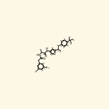 CC(NC(=O)Cc1cc(F)cc(F)c1)C(=O)Nc1cc(C(C)Cc2ccc(C(C)(C)C)cc2)on1